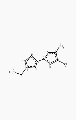 CCn1cc(-n2cc(C)c(Cl)n2)cn1